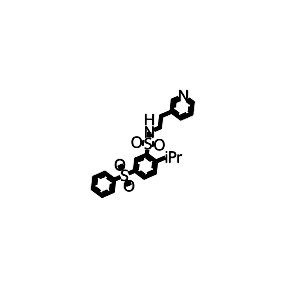 CC(C)c1ccc(S(=O)(=O)c2ccccc2)cc1S(=O)(=O)NCCc1cccnc1